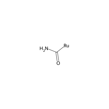 N[C](=O)[Ru]